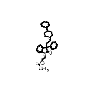 CC(=O)OCCN1C(=O)C(CCN2CCC(c3ccccc3)CC2)(c2ccccc2)c2ccccc21